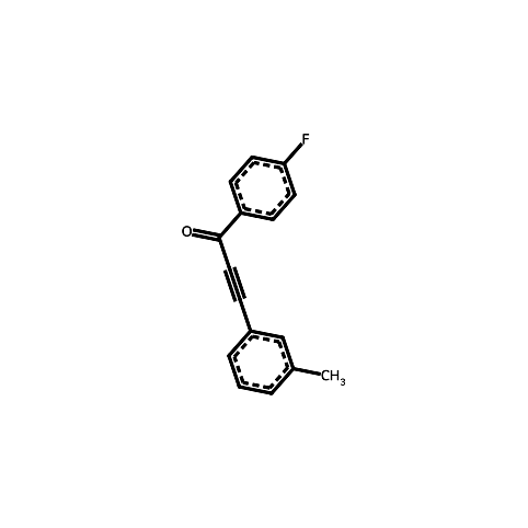 Cc1cccc(C#CC(=O)c2ccc(F)cc2)c1